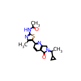 CC(=O)Nc1nc(C)c(-c2ccc3c(n2)CN([C@@H](C)C2CC2)C3=O)s1